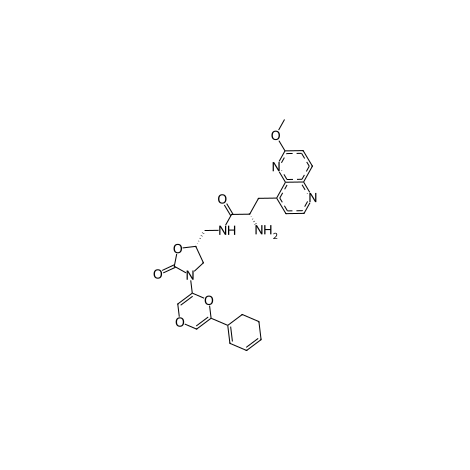 COc1ccc2nccc(C[C@H](N)C(=O)NC[C@@H]3CN(C4=COC=C(C5=CC=CCC5)O4)C(=O)O3)c2n1